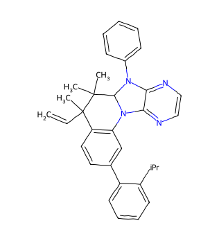 C=CC1(C)c2ccc(-c3ccccc3C(C)C)cc2N2c3nccnc3N(c3ccccc3)C2C1(C)C